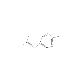 CC[CH]/C(C)=C/c1ccc(O)cc1